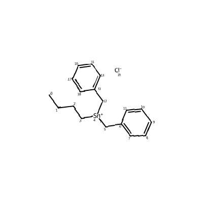 CCC[CH2][Sn+]([CH2]c1ccccc1)[CH2]c1ccccc1.[Cl-]